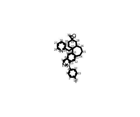 Fc1ccc(-n2ncc3cc4c(cc32)CCCC2CC3(CCC42Cc2ccccn2)CO3)cc1